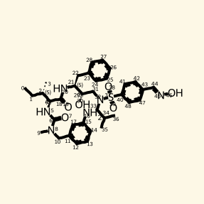 CC[C@H](C)[C@H](NC(=O)N(C)Cc1cccc(N)c1)C(=O)N[C@@H](Cc1ccccc1)[C@@H](O)CN(CC(C)C)S(=O)(=O)c1ccc(C=NO)cc1